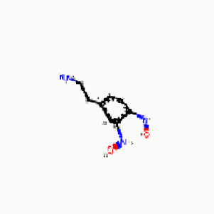 NCCc1ccc(N=O)c(N=O)c1